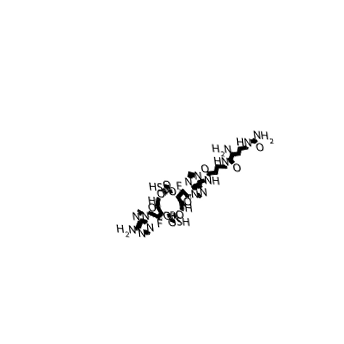 NC(=O)NCCC[C@H](N)C(=O)NCCCC(=O)Nc1ncnc2c1ncn2[C@@H]1O[C@@H]2CO[P@@](=O)(S)OC3[C@@H](F)[C@H](n4cnc5c(N)ncnc54)O[C@@H]3CO[P@@](=O)(S)OC2[C@H]1F